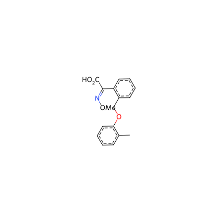 CO/N=C(/C(=O)O)c1ccccc1COc1ccccc1C